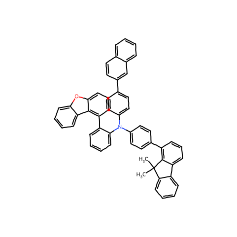 CC1(C)c2ccccc2-c2cccc(-c3ccc(N(c4ccc(-c5ccc6ccccc6c5)cc4)c4ccccc4-c4cccc5oc6ccccc6c45)cc3)c21